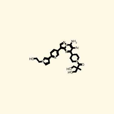 CC(=O)c1c(C2CCN(C(=O)C(C)(CO)CO)CC2)nc2c(-c3ccc(-c4ccn(CCO)c4)nc3)cnn2c1N